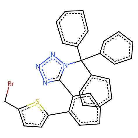 BrCc1ccc(-c2ccccc2-c2nnnn2C(c2ccccc2)(c2ccccc2)c2ccccc2)s1